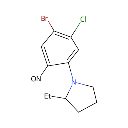 CCC1CCCN1c1cc(Cl)c(Br)cc1N=O